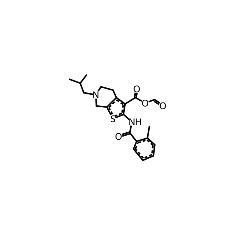 Cc1ccccc1C(=O)Nc1sc2c(c1C(=O)OC=O)CCN(CC(C)C)C2